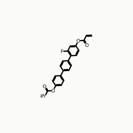 C=CC(=O)Oc1ccc(-c2ccc(-c3ccc(OC(=O)C(C)C)cc3)cc2)c(F)c1